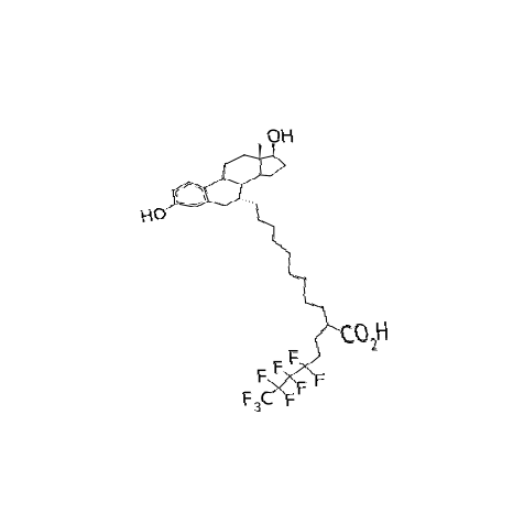 C[C@]12CCC3c4ccc(O)cc4C[C@@H](CCCCCCCCCC(CCC(F)(F)C(F)(F)C(F)(F)C(F)(F)F)C(=O)O)C3C1CC[C@@H]2O